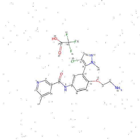 Cc1cncc(C(=O)Nc2ccc(OCCN)c(-c3c(Cl)cnn3C)c2)c1.O=C(O)C(F)(F)F